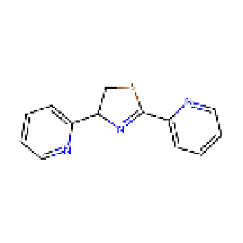 c1ccc(C2=NC(c3ccccn3)CS2)nc1